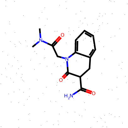 CN(C)C(=O)CN1C(=O)C(C(N)=O)Cc2ccccc21